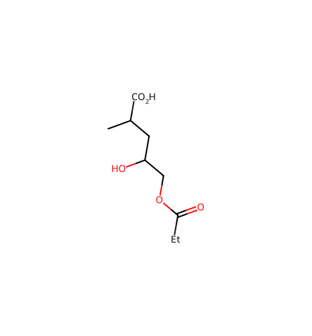 CCC(=O)OCC(O)CC(C)C(=O)O